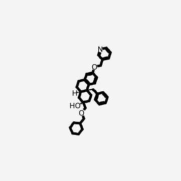 O[C@]1(COCC2CCCCC2)CC[C@@]2(Cc3ccccc3)c3ccc(OCc4cccnc4)cc3CC[C@@H]2C1